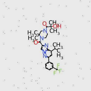 CC(C)c1cc(-c2cccc(C(F)(F)F)c2)nn2cc(C(=O)N3CCN(C(=O)C(C)(C)O)CC3(C)C)nc12